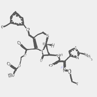 CC(C)(C)C(=O)OCOC(=O)C1=C(COc2cccc(F)c2)CS[C@@H]2C(NC(=O)/C(=N/OCF)c3csc(N)n3)C(=O)N12